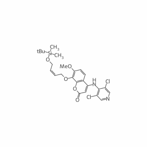 COc1ccc2c(Nc3c(Cl)cncc3Cl)cc(=O)oc2c1OC/C=C\CO[Si](C)(C)C(C)(C)C